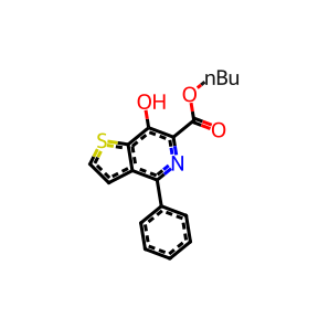 CCCCOC(=O)c1nc(-c2ccccc2)c2ccsc2c1O